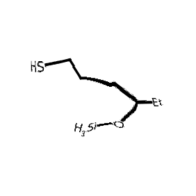 CCC(CCCS)O[SiH3]